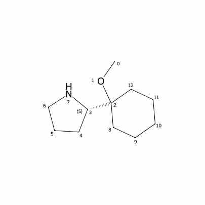 COC1([C@@H]2CCCN2)CCCCC1